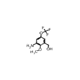 COc1c(N)cc(OC(F)(F)F)cc1CO